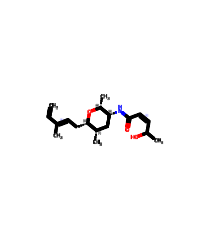 C=C/C(C)=C/C[C@@H]1O[C@H](C)[C@H](NC(=O)/C=C\C(C)O)C[C@@H]1C